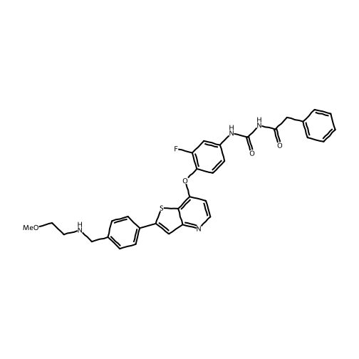 COCCNCc1ccc(-c2cc3nccc(Oc4ccc(NC(=O)NC(=O)Cc5ccccc5)cc4F)c3s2)cc1